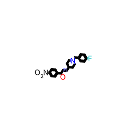 O=C(/C=C/C1CCN(Cc2ccc(F)cc2)CC1)c1ccc([N+](=O)[O-])cc1